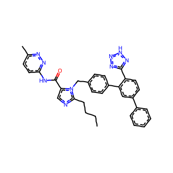 CCCCc1ncc(C(=O)Nc2ccc(C)nn2)n1Cc1ccc(-c2cc(-c3ccccc3)ccc2-c2nn[nH]n2)cc1